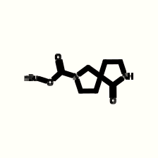 CCCCOC(=O)N1CCC2(CCNC2=O)C1